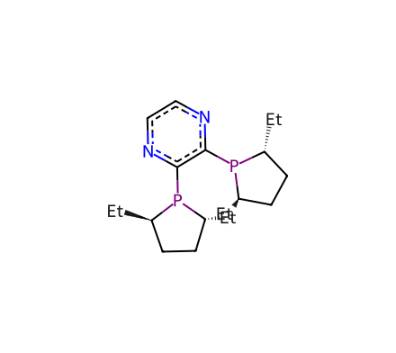 CC[C@@H]1CC[C@@H](CC)P1c1nccnc1P1[C@H](CC)CC[C@H]1CC